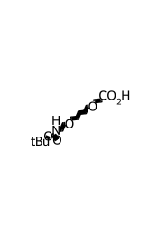 CC(C)(C)OC(=O)NCCOCCCCCOCCC(=O)O